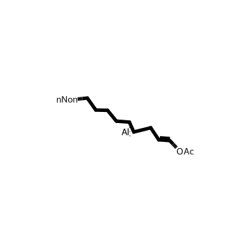 CCCCCCCCCCCCCCCCC=COC(C)=O.[Al]